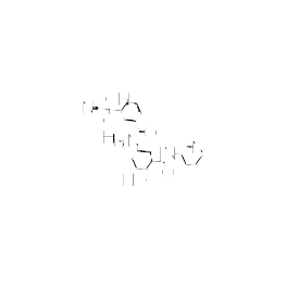 Cc1ccc(NC(=O)c2cccc(C(C)(C)C#N)c2)cc1C(=O)Nc1cccnc1